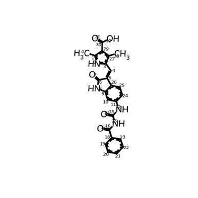 Cc1[nH]c(/C=C2\C(=O)Nc3cc(NC(=O)NC(=O)c4ccccc4)ccc32)c(C)c1C(=O)O